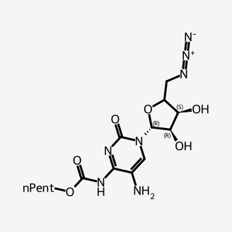 CCCCCOC(=O)Nc1nc(=O)n([C@@H]2OC(CN=[N+]=[N-])[C@@H](O)[C@H]2O)cc1N